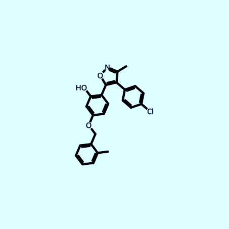 Cc1ccccc1COc1ccc(-c2onc(C)c2-c2ccc(Cl)cc2)c(O)c1